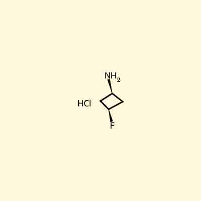 Cl.N[C@H]1C[C@@H](F)C1